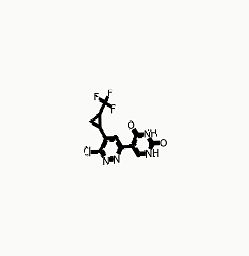 O=c1[nH]cc(-c2cc(C3CC3C(F)(F)F)c(Cl)nn2)c(=O)[nH]1